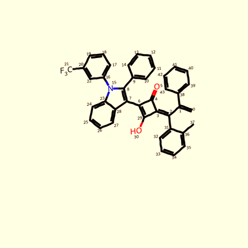 C=C(/C(=C1\C(=O)C(c2c(-c3ccccc3)n(-c3cccc(C(F)(F)F)c3)c3ccccc23)=C1O)c1ccccc1C)c1ccccc1